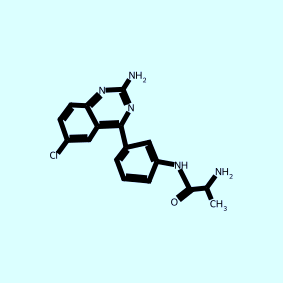 CC(N)C(=O)Nc1cccc(-c2nc(N)nc3ccc(Cl)cc23)c1